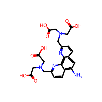 Nc1cc2ccc(CN(CC(=O)O)CC(=O)O)nc2c2nc(CN(CC(=O)O)CC(=O)O)ccc12